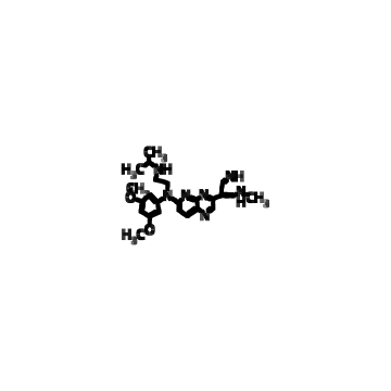 CN/C=C(\C=N)c1cnc2ccc(N(CCNC(C)C)c3cc(OC)cc(OC)c3)nc2n1